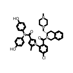 Cc1cc(C(=O)N(c2ccc(O)cc2)c2ccc(O)cc2)cn1-c1cc(Cl)ccc1C(=O)N1Cc2ccccc2C[C@H]1CN1CCN(C)CC1